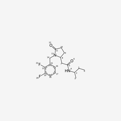 CCC(C)NC(=O)CC1CCC(=O)N1Cc1cccc(F)c1F